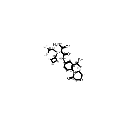 NC(=O)[C@H](C(=O)Nc1ccc(N2CCOCC2=O)c(C(F)F)c1)N(CC(F)F)C1CCC1